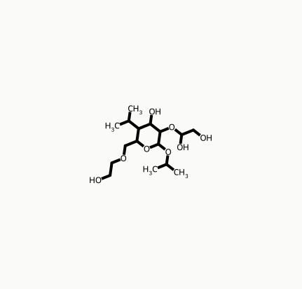 CC(C)OC1OC(COCCO)C(C(C)C)C(O)C1OC(O)CO